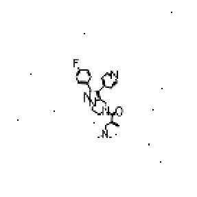 C=C(CN(C)C)C(=O)N1CCn2nc(-c3ccc(F)cc3)c(-c3ccncc3)c2C1